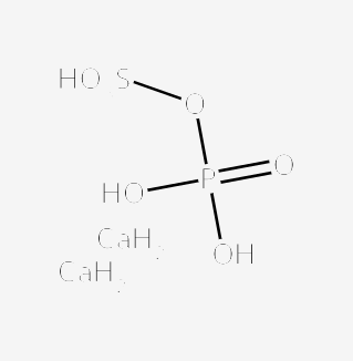 O=P(O)(O)OS(=O)(=O)O.[CaH2].[CaH2]